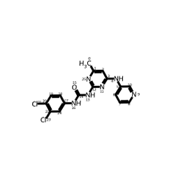 Cc1cc(Nc2cccnc2)nc(NC(=O)Nc2ccc(Cl)c(Cl)c2)n1